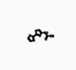 O=C(O)Nc1csc(-c2nccs2)n1